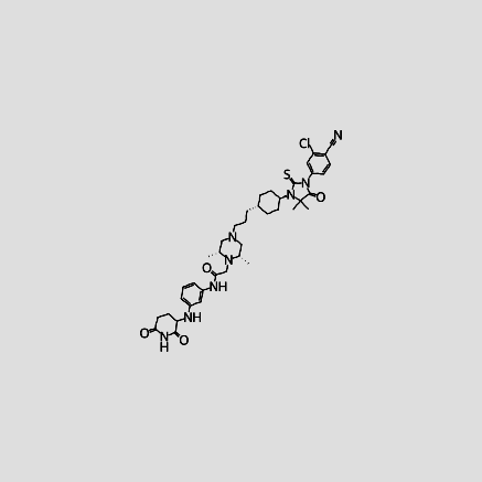 C[C@@H]1CN(CCC[C@H]2CC[C@H](N3C(=S)N(c4ccc(C#N)c(Cl)c4)C(=O)C3(C)C)CC2)C[C@H](C)N1CC(=O)Nc1cccc(NC2CCC(=O)NC2=O)c1